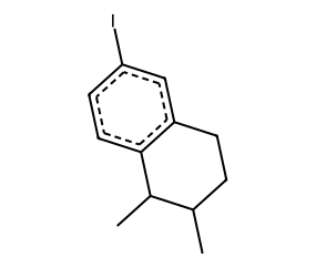 CC1CCc2cc(I)ccc2C1C